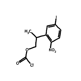 CC(COC(=O)Cl)c1cc(I)ccc1[N+](=O)[O-]